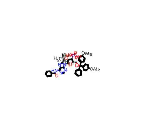 COc1ccc(C(OC[C@H]2O[C@@H](n3cnc4c(NC(=O)c5ccccc5)ncnc43)[C@@H](O[Si](C)(C)C(C)(C)C)[C@@H]2P(=O)(O)O)(c2ccccc2)c2ccc(OC)cc2)cc1